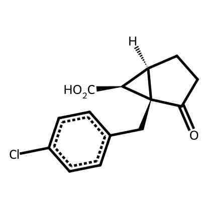 O=C(O)[C@H]1[C@H]2CCC(=O)[C@@]21Cc1ccc(Cl)cc1